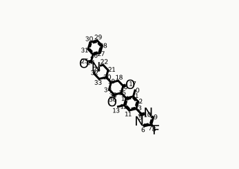 Cc1cc(-c2ncc(F)cn2)cc(C)c1C1C(=O)CC(C2CCN(C(=O)c3ccccc3)CC2)CC1=O